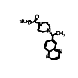 CC(c1ccc2nccnc2c1)N1CCN(C(=O)OC(C)(C)C)CC1